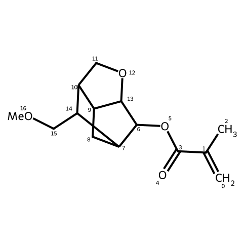 C=C(C)C(=O)OC1C2CC3C(COC31)C2COC